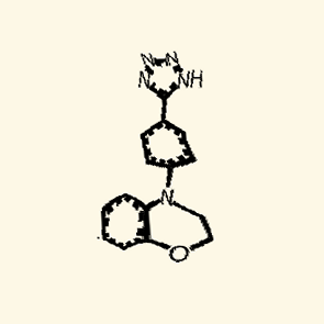 [c]1ccc2c(c1)OCCN2c1ccc(-c2nnn[nH]2)cc1